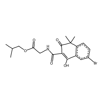 CC(C)COC(=O)CNC(=O)C1=C(O)c2cc(Br)ccc2C(C)(C)C1=O